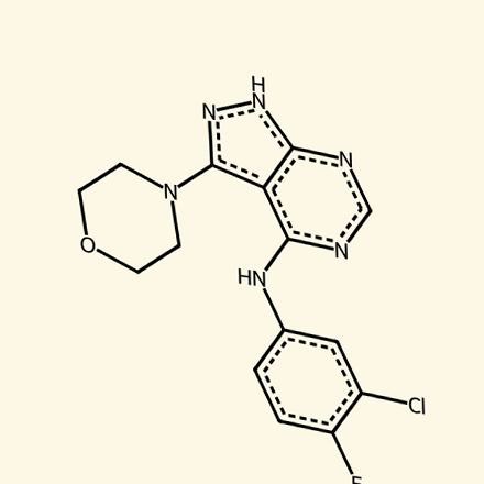 Fc1ccc(Nc2ncnc3[nH]nc(N4CCOCC4)c23)cc1Cl